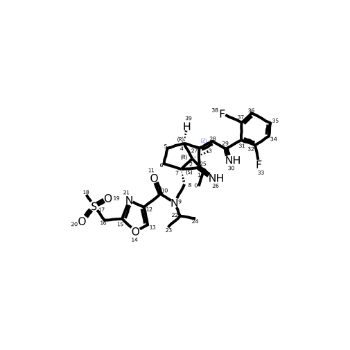 CC[C@]1(C)[C@H]2CC[C@]1(CN(C(=O)c1coc(CS(C)(=O)=O)n1)C(C)C)C(=N)/C2=C\C(=N)c1c(F)cccc1F